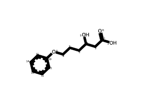 O=C(O)CC(O)CCCOc1ccccc1